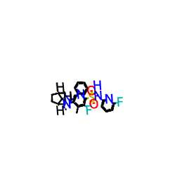 Cc1c(N(C)[C@H]2[C@@H]3CC[C@H]2CN(Cc2ccccc2)C3)cnc(S(=O)(=O)Nc2cccc(F)n2)c1F